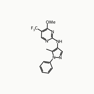 COc1nc(Nc2cnn(-c3ccccc3)c2C)ncc1C(F)(F)F